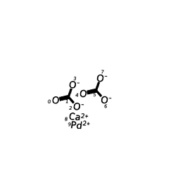 O=C([O-])[O-].O=C([O-])[O-].[Ca+2].[Pd+2]